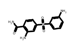 NC(=O)c1ccc(S(=O)(=O)c2cccc(N)c2)cc1N